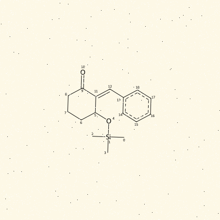 C[Si](C)(C)OC1CCCC(=O)C1=Cc1ccccc1